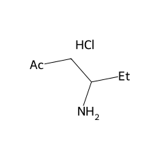 CCC(N)CC(C)=O.Cl